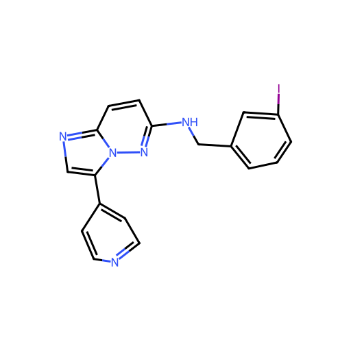 Ic1cccc(CNc2ccc3ncc(-c4ccncc4)n3n2)c1